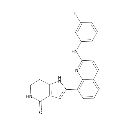 O=C1NCCc2[nH]c(-c3cccc4ccc(Nc5cccc(F)c5)nc34)cc21